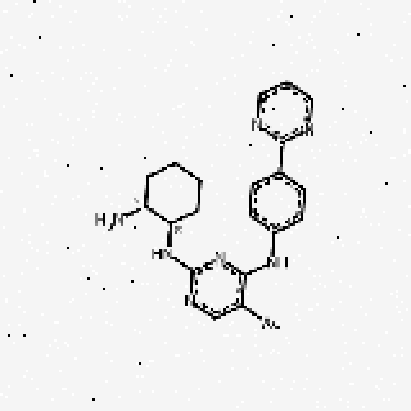 CC(=O)c1cnc(N[C@@H]2CCCC[C@@H]2N)nc1Nc1ccc(-c2ncccn2)cc1